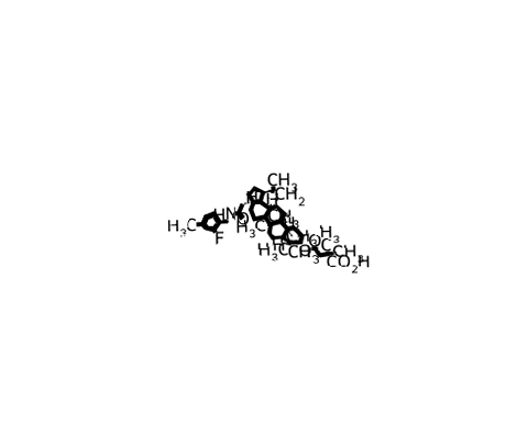 C=C(C)[C@@H]1CC[C@]2(CC(=O)NCc3ccc(C)cc3F)CC[C@]3(C)[C@H](CC[C@@H]4[C@@]5(C)CC[C@H](OC(=O)CC(C)(C)C(=O)O)C(C)(C)[C@@H]5CC[C@]43C)[C@@H]12